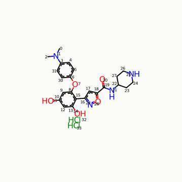 CN(C)c1ccc(Oc2cc(O)cc(O)c2-c2cc(C(=O)NC3CCNCC3)on2)cc1.Cl.Cl